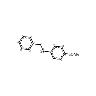 COc1ccc([Se]Cc2ccccc2)cc1